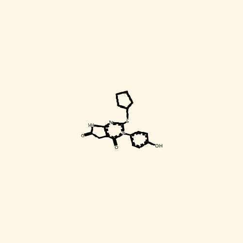 O=C1Cc2c(nc(SC3CCCC3)n(-c3ccc(O)cc3)c2=O)N1